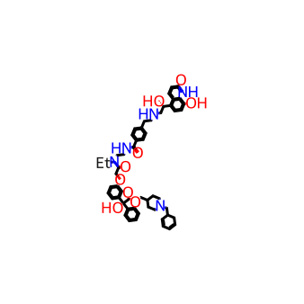 CCN(CCNC(=O)c1ccc(CCNC[C@H](O)c2ccc(O)c3[nH]c(=O)ccc23)cc1)C(=O)COc1cccc(C(O)(C(=O)OCC2CCN(CC3C=CC=CC3)CC2)c2ccccc2)c1